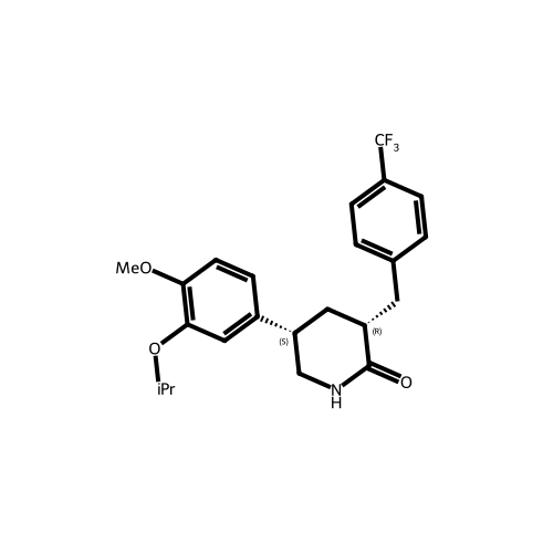 COc1ccc([C@H]2CNC(=O)[C@@H](Cc3ccc(C(F)(F)F)cc3)C2)cc1OC(C)C